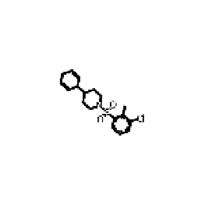 Cc1c(Cl)cccc1S(=O)(=O)N1CCC(C2C=CCC=C2)CC1